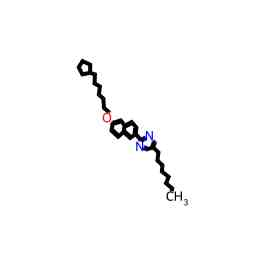 CCCCCCCCc1cnc(-c2ccc3cc(OCCCCCCCC4CCCC4)ccc3c2)nc1